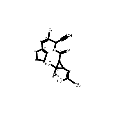 C#CC(OC(=O)C1C(C=C(C)C)C1(C)C)C(=CC1=CCCC1)CC